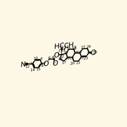 C#C[C@]1(OC(=O)COc2ccc(C#N)cc2)CCC2C3CCC4=CC(=O)CCC4C3CC[C@@]21CC